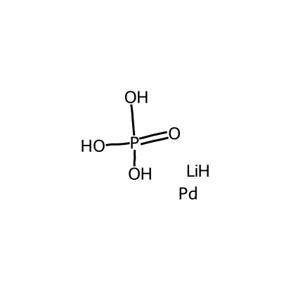 O=P(O)(O)O.[LiH].[Pd]